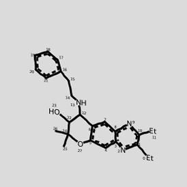 CCc1nc2cc3c(cc2nc1CC)C(NCCc1ccccc1)C(O)C(C)(C)O3